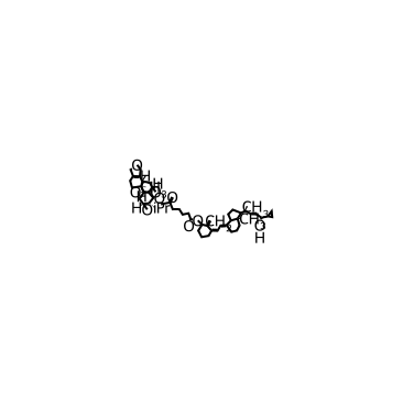 C=C1/C(=C\C=C2/CCC[C@@]3(C)C2CCC3[C@@H](C)/C=C/C(O)C2CC2)CCCC1OC(=O)CCCCC(=O)CO[C@@H]1[C@@]2(C(C)C)O[C@H]2[C@@H]2O[C@]23[C@]12O[C@H]2C[C@H]1C2=C(CC[C@@]13C)COC2